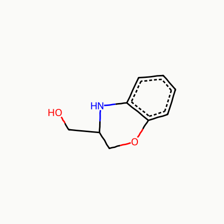 OCC1COc2ccccc2N1